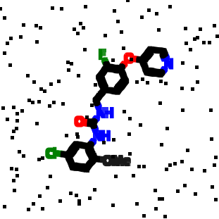 COc1ccc(Cl)cc1NC(=O)NCc1ccc(Oc2ccncc2)c(F)c1